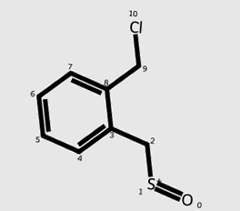 O=[S+]Cc1ccccc1CCl